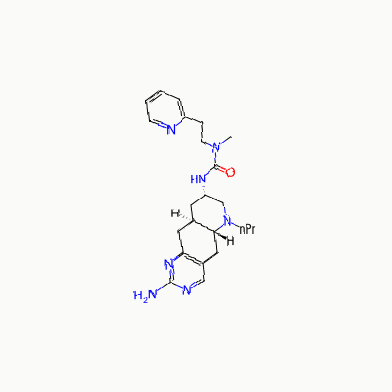 CCCN1C[C@@H](NC(=O)N(C)CCc2ccccn2)C[C@@H]2Cc3nc(N)ncc3C[C@H]21